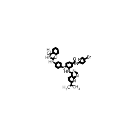 CC(C)c1ccc2c(Nc3cc(C(=O)Nc4ccc(Br)cn4)ccc3Sc3ccc(NC(=O)N[C@H](C)c4ccccc4)cc3)ncnc2n1